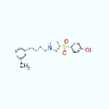 Cc1cccc(CCCCN2CCC(S(=O)(=O)c3ccc(O)cc3)C2)c1